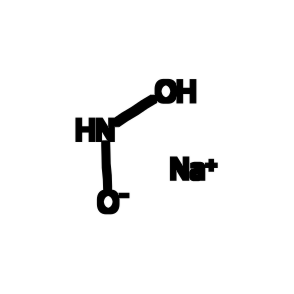 [Na+].[O-]NO